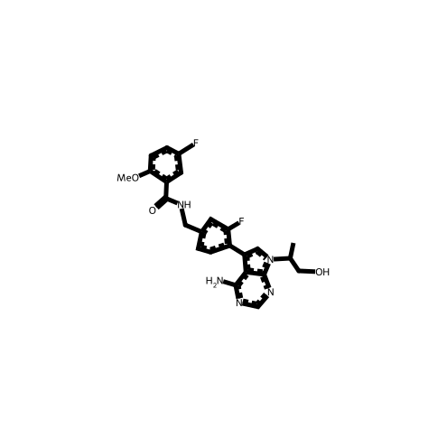 COc1ccc(F)cc1C(=O)NCc1ccc(-c2cn(C(C)CO)c3ncnc(N)c23)c(F)c1